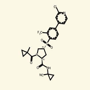 CC1(C(=O)N2C[C@H](S(=O)(=O)c3ccc(-c4ccnc(Cl)c4)cc3C(F)(F)F)C[C@H]2C(=O)NC2(C#N)CC2)CC1